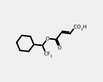 O=C(O)/C=C/C(=O)OC(C1CCCCC1)C(F)(F)F